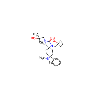 CN(C)[C@]1(c2ccccc2)CC[C@]2(CC1)CN(CC(C)(C)O)C(=O)N2CC1(O)CCC1